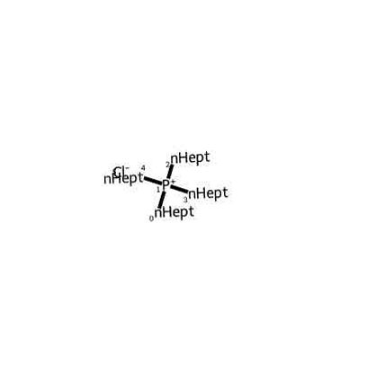 CCCCCCC[P+](CCCCCCC)(CCCCCCC)CCCCCCC.[Cl-]